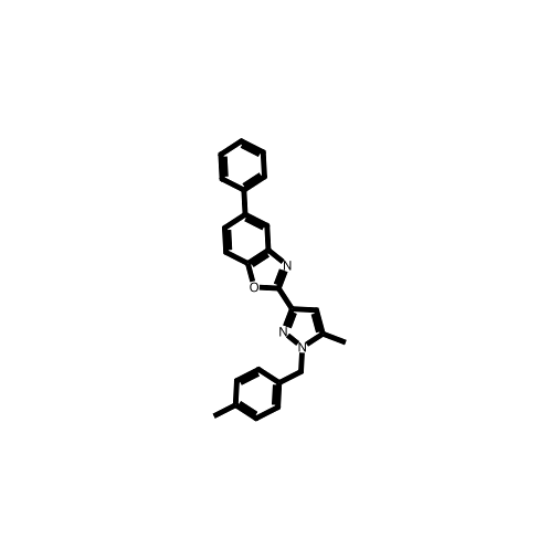 Cc1ccc(Cn2nc(-c3nc4cc(-c5ccccc5)ccc4o3)cc2C)cc1